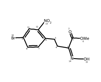 COC(=O)/C(CCc1ccc(Br)cc1[N+](=O)[O-])=N\O